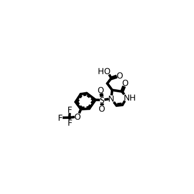 O=C(O)CC1C(=O)NC=CN1S(=O)(=O)c1cccc(OC(F)(F)F)c1